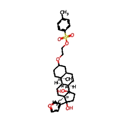 Cc1ccc(S(=O)(=O)OCCOC2CC[C@@]3(C)C(CC[C@@H]4[C@H]3CC[C@]3(C)C(O)(c5ccoc5)CC[C@@]43O)C2)cc1